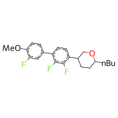 CCCCC1CCC(c2ccc(-c3ccc(OC)c(F)c3)c(F)c2F)CO1